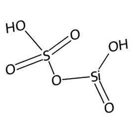 O=[Si](O)OS(=O)(=O)O